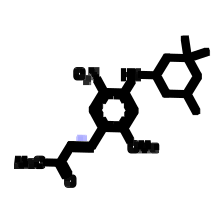 COC(=O)/C=C/c1cc([N+](=O)[O-])c(NC2CC(C)CC(C)(C)C2)cc1OC